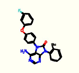 CC(C)(C)c1[c]cccc1-n1c(=O)n(-c2ccc(Oc3cccc(F)c3)cc2)c2c(N)ncnc21